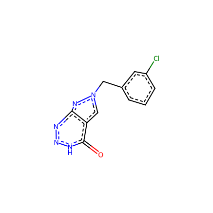 O=c1[nH]nnc2nn(Cc3cccc(Cl)c3)cc12